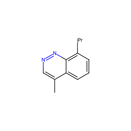 Cc1cnnc2c(C(C)C)cccc12